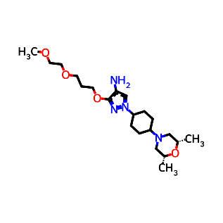 COCCOCCCOc1nn(C2CCC(N3C[C@@H](C)O[C@@H](C)C3)CC2)cc1N